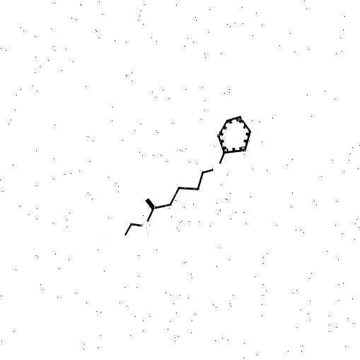 O=C(O)CNC(=O)CCCCOc1ccccc1